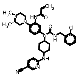 C=CC(=O)Nc1cc(N(C(=O)NCc2ccccc2Cl)C2CCC(Nc3ccc(C#N)cn3)CC2)ccc1N1CCN(C)[C@@H](C)C1